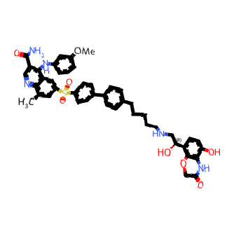 COc1cccc(Nc2c(C(N)=O)cnc3c(C)cc(S(=O)(=O)c4ccc(-c5ccc(CCCCCNC[C@H](O)c6ccc(O)c7c6OCC(=O)N7)cc5)cc4)cc23)c1